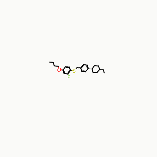 CCCCOc1ccc(SCc2ccc([C@H]3CC[C@H](CC)CC3)cc2)c(F)c1